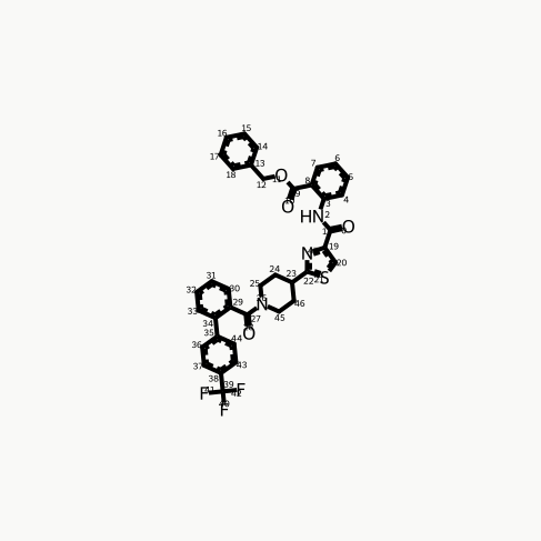 O=C(Nc1ccccc1C(=O)OCc1ccccc1)c1csc(C2CCN(C(=O)c3ccccc3-c3ccc(C(F)(F)F)cc3)CC2)n1